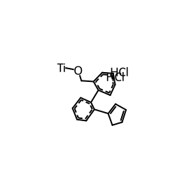 Cl.Cl.[Ti][O]Cc1ccccc1-c1ccccc1C1=CC=CC1